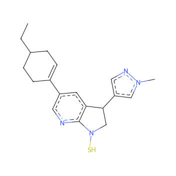 CCC1CC=C(c2cnc3c(c2)C(c2cnn(C)c2)CN3S)CC1